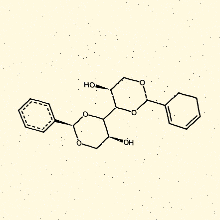 O[C@H]1COC(C2=CC=CCC2)OC1C1O[C@H](c2ccccc2)OC[C@@H]1O